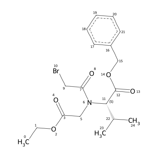 CCOC(=O)CN(C(=O)CBr)[C@H](C(=O)OCc1ccccc1)C(C)C